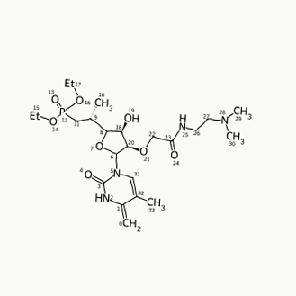 C=C1NC(=O)N(C2OC([C@@H](C)CP(=O)(OCC)OCC)[C@@H](O)[C@H]2OCC(=O)NCCN(C)C)C=C1C